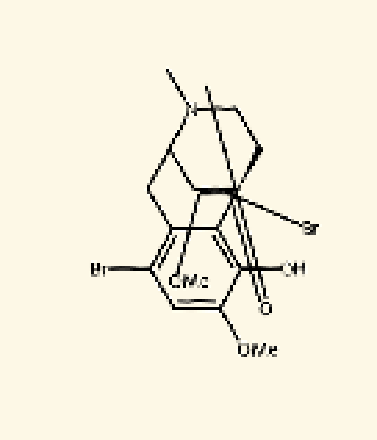 COc1cc(Br)c2c(c1O)[C@@]13CCN(C)C(C2)C1CC(OC)C(=O)C3Br